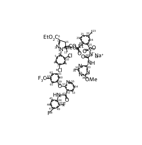 CCOC(=O)C1=NN(c2ccc(Cl)cc2Cl)C(C)(C(=O)OCC)C1.COC(=O)c1ccc(I)cc1S(=O)(=O)[N-]C(=O)Nc1nc(C)nc(OC)n1.O=C(Nc1ccc(F)cc1F)c1cccnc1Oc1cccc(C(F)(F)F)c1.[Na+]